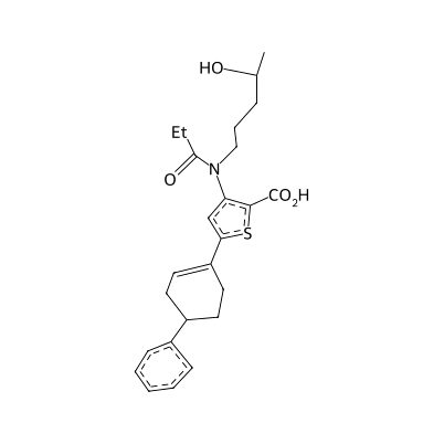 CCC(=O)N(CCCC(C)O)c1cc(C2=CCC(c3ccccc3)CC2)sc1C(=O)O